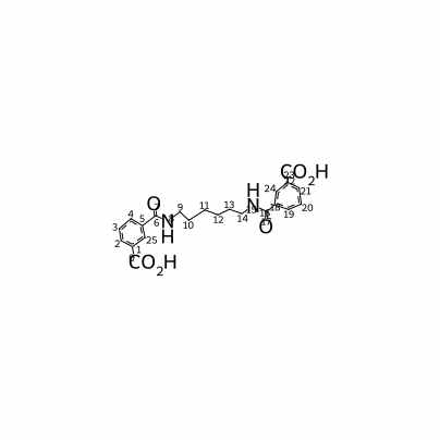 O=C(O)c1cccc(C(=O)NCCCCCCNC(=O)c2cccc(C(=O)O)c2)c1